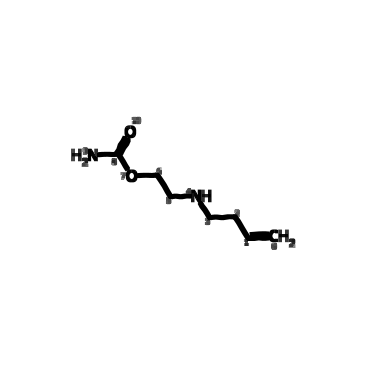 C=CCCNCCOC(N)=O